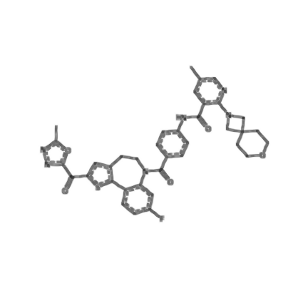 Cc1cnc(N2CC3(CCOCC3)C2)c(C(=O)Nc2ccc(C(=O)N3CCc4cc(C(=O)c5nnc(C)o5)sc4-c4ccc(F)cc43)cc2)c1